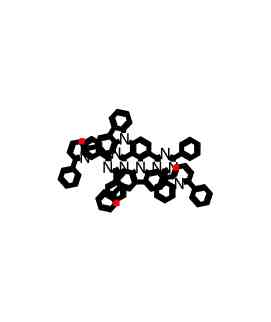 c1ccc(-c2ccc3c(c2)c2ccc(-c4cccc(-c5ccccc5)n4)cc2n3-c2c(-c3nc(-c4ccccc4)nc(-c4ccccc4)n3)ccc(-n3c4ccccc4c4cc(-c5cccc(-c6ccccc6)n5)ccc43)c2-c2nc(-c3ccccc3)nc(-c3ccccc3)n2)cc1